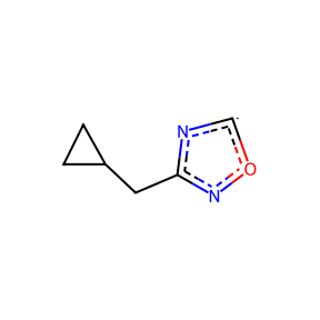 [c]1nc(CC2CC2)no1